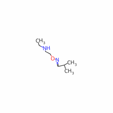 CCNCCO/N=C/C(C)C